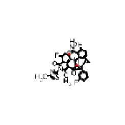 Cc1csc(-n2c(C)c(C(=O)N[C@H](c3cccc(F)c3)C3CC3)c3c([C@@H](c4cccc(F)c4C(N)=O)C4CC4)ccc(F)c3c2=O)n1